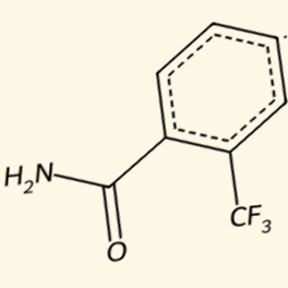 NC(=O)c1cc[c]cc1C(F)(F)F